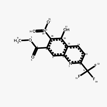 COC(=O)c1cc2nc(C(F)(F)F)ccc2c(O)c1[N+](=O)[O-]